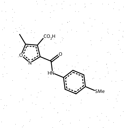 CSc1ccc(NC(=O)c2noc(C)c2C(=O)O)cc1